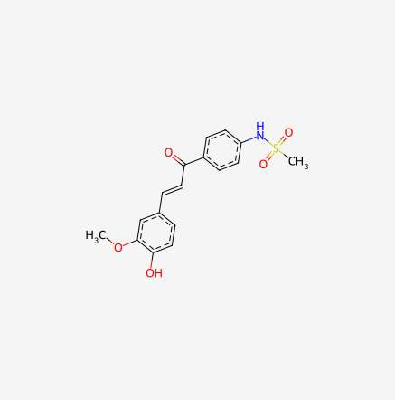 COc1cc(C=CC(=O)c2ccc(NS(C)(=O)=O)cc2)ccc1O